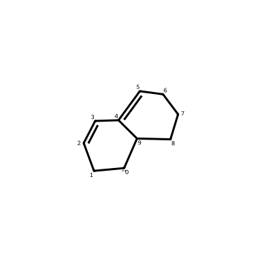 [C]1CC=CC2=CCCCC12